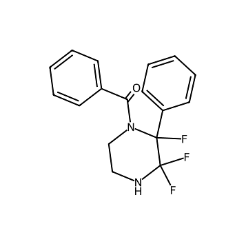 O=C(c1ccccc1)N1CCNC(F)(F)C1(F)c1ccccc1